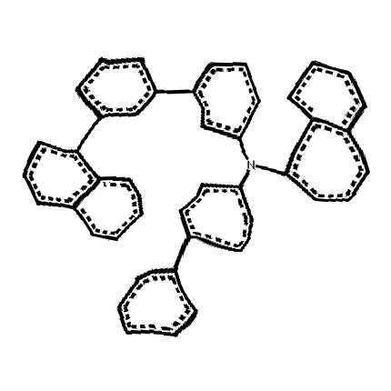 c1ccc(-c2ccc(N(c3cccc(-c4cccc(-c5cccc6ccccc56)c4)c3)c3cccc4ccccc34)cc2)cc1